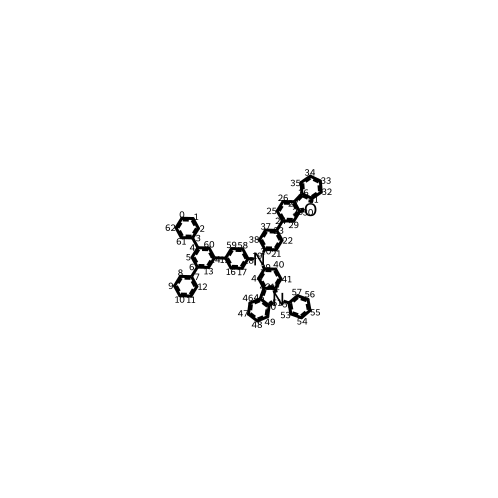 c1ccc(-c2cc(-c3ccccc3)cc(-c3ccc(N(c4ccc(-c5ccc6c(c5)oc5ccccc56)cc4)c4ccc5c(c4)c4ccccc4n5-c4ccccc4)cc3)c2)cc1